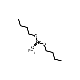 CCCCO[N+](=O)OCCCC.P